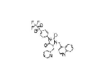 O=C1C(Cc2ccccn2)N(Cc2ccnc3ccccc23)C(=O)N1c1ccc(S(=O)(=O)C(F)(F)F)cc1